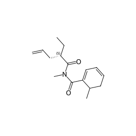 C=CC[C@H](CC)C(=O)N(C)C(=O)C1=CC=CCC1C